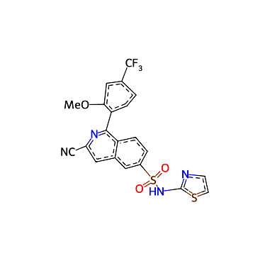 COc1cc(C(F)(F)F)ccc1-c1nc(C#N)cc2cc(S(=O)(=O)Nc3nccs3)ccc12